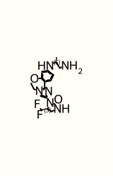 C[C@@H](CN)Nc1ccc2c(c1)OCCn1cc(N3C(=O)NC[C@H]3C(F)F)nc1-2